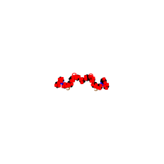 c1cc(-c2ccc3oc4ccc(-c5ccc6sc7ccc(-n8c9ccccc9c9ccccc98)cc7c6c5)cc4c3c2)cc(-c2ccc3oc4ccc(-c5ccc6sc7ccc(-n8c9ccccc9c9ccccc98)cc7c6c5)cc4c3c2)c1